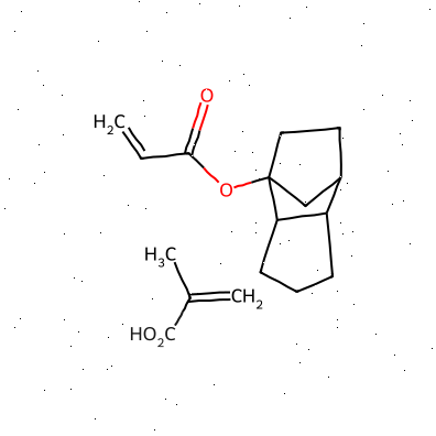 C=C(C)C(=O)O.C=CC(=O)OC12CCC(C1)C1CCCC12